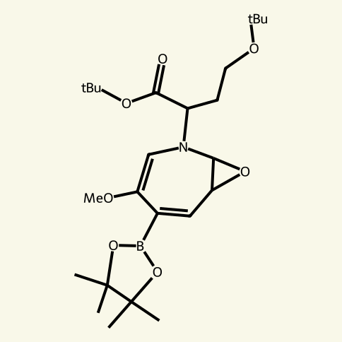 COC1=CN(C(CCOC(C)(C)C)C(=O)OC(C)(C)C)C2OC2C=C1B1OC(C)(C)C(C)(C)O1